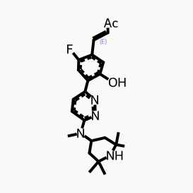 CC(=O)/C=C/c1cc(O)c(-c2ccc(N(C)C3CC(C)(C)NC(C)(C)C3)nn2)cc1F